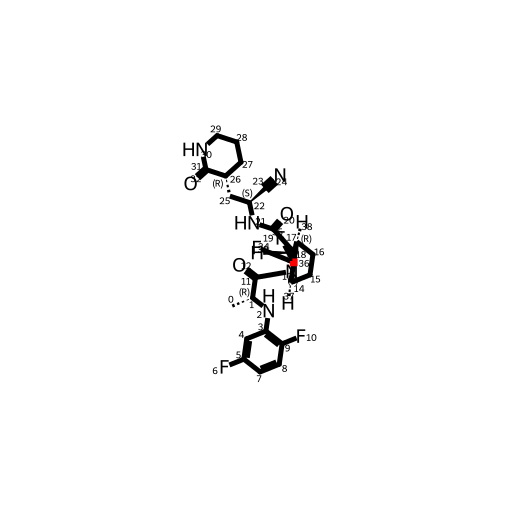 C[C@@H](Nc1cc(F)ccc1F)C(=O)N1[C@@H]2CC[C@H]([C@H]1C(=O)N[C@H](C#N)C[C@H]1CCCNC1=O)C(F)(F)C2